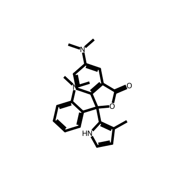 Cc1cc[nH]c1C1(c2ccccc2N(C)C)OC(=O)c2cc(N(C)C)ccc21